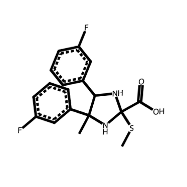 CSC1(C(=O)O)NC(c2cccc(F)c2)C(C)(c2cccc(F)c2)N1